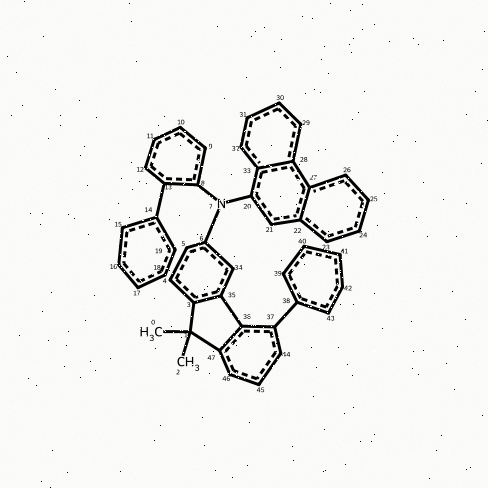 CC1(C)c2ccc(N(c3ccccc3-c3ccccc3)c3cc4ccccc4c4ccccc34)cc2-c2c(-c3ccccc3)cccc21